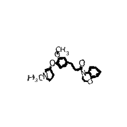 COc1cc(C=CC(=O)N2CCOc3ccccc32)ccc1OC1CCN(C)C1